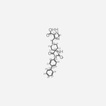 O=C(O)c1[nH]cnc1CN1CCC2(CC1)NC(=O)N(c1ccc(-c3ccccc3)cc1)C2=O